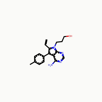 C=Cc1c(-c2ccc(C)cc2)c2c(N)ncnc2n1CCCO